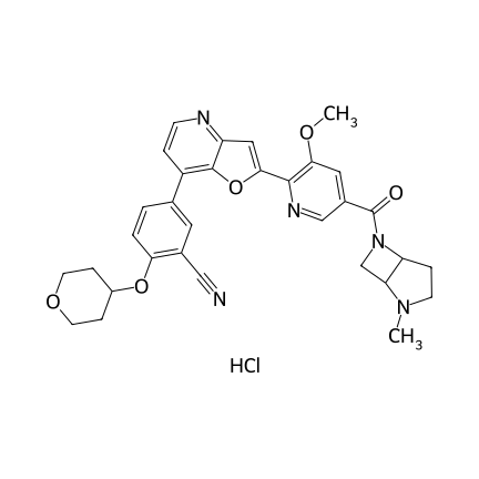 COc1cc(C(=O)N2CC3C2CCN3C)cnc1-c1cc2nccc(-c3ccc(OC4CCOCC4)c(C#N)c3)c2o1.Cl